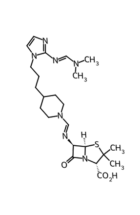 CN(C)C=Nc1nccn1CCCC1CCN(C=N[C@@H]2C(=O)N3[C@@H]2SC(C)(C)[C@@H]3C(=O)O)CC1